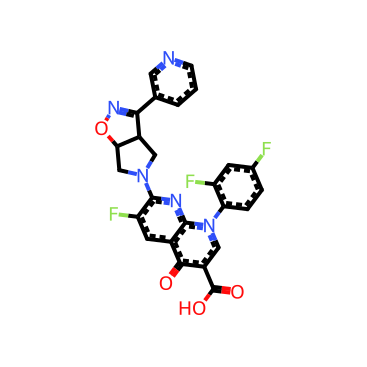 O=C(O)c1cn(-c2ccc(F)cc2F)c2nc(N3CC4ON=C(c5cccnc5)C4C3)c(F)cc2c1=O